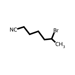 CC(Br)CCCCC#N